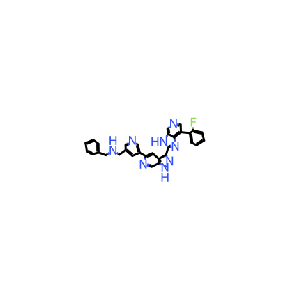 Fc1ccccc1-c1cncc2[nH]c(-c3n[nH]c4cnc(-c5cncc(CNCc6ccccc6)c5)cc34)nc12